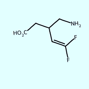 NCC(C=C(F)F)CC(=O)O